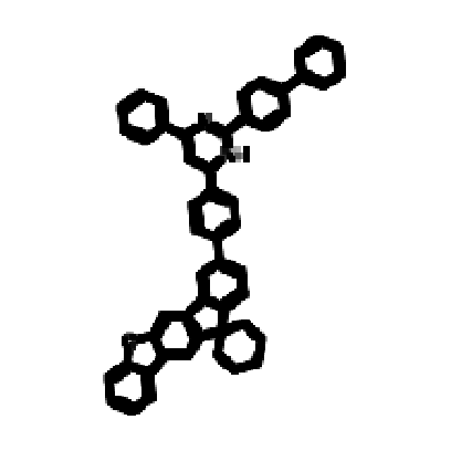 C1=C(c2ccccc2)N=C(c2ccc(-c3ccccc3)cc2)NC1c1ccc(-c2ccc3c(c2)-c2cc4oc5ccccc5c4cc2C32CCCCC2)cc1